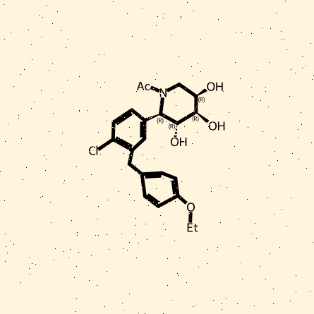 CCOc1ccc(Cc2cc([C@@H]3[C@@H](O)[C@H](O)[C@H](O)CN3C(C)=O)ccc2Cl)cc1